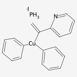 C=[C](c1ccccn1)[Cu]([c]1ccccc1)[c]1ccccc1.P.[I]